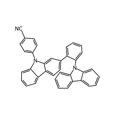 N#Cc1ccc(-n2c3ccccc3c3ccc(-c4ccccc4-n4c5ccccc5c5ccccc54)cc32)cc1